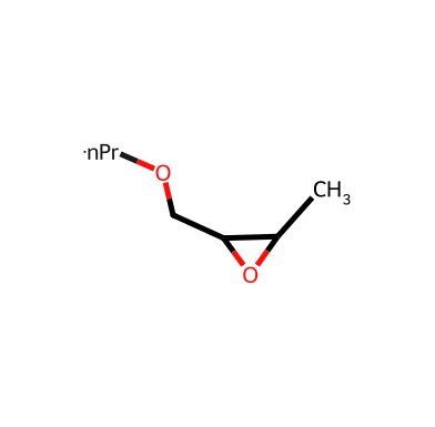 CC[CH]OCC1OC1C